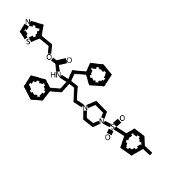 Cc1ccc(S(=O)(=O)N2CCN(CCC(Cc3ccccc3)(Cc3ccccc3)NC(=O)OCc3cncs3)CC2)cc1